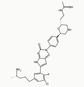 CC(=N)NCC[C@@H]1CNC[C@@H](c2ccc(-n3cc4cc(-c5cc(CCC[C@H](C)N)cc(Cl)c5F)[nH]c4nc3=O)cc2)O1